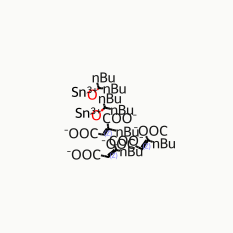 CCCC/C(=C/C(=O)[O-])C(=O)[O-].CCCC/C(=C/C(=O)[O-])C(=O)[O-].CCCC/C(=C/C(=O)[O-])C(=O)[O-].CCCCC(CCCC)[O][Sn+3].CCCCC(CCCC)[O][Sn+3]